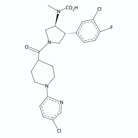 CN(C(=O)O)[C@@H]1CN(C(=O)C2CCN(c3ccc(Cl)cn3)CC2)C[C@H]1c1ccc(F)c(Cl)c1